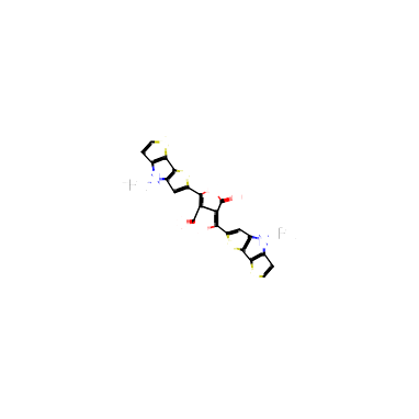 CC(C)(C)n1c2ccsc2c2sc(C3=C4C(=O)OC(c5cc6c(s5)c5sccc5n6C(C)(C)C)=C4C(=O)O3)cc21